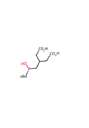 CCCCP(O)CC(CC(=O)O)CC(=O)O